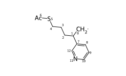 [CH2]C(CCCSC(C)=O)c1cccnc1